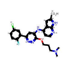 CN(C)CCCOc1nnc(-c2cc(Cl)ccc2F)cc1Nc1ccnc2[nH]c(C(=O)O)cc12